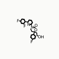 O=C1OC(CCO)(c2ccc(F)cc2)CCN1c1cccc(-c2ccc(F)cc2F)n1